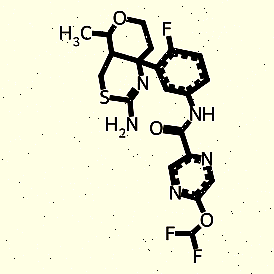 CC1OCCC2(c3cc(NC(=O)c4cnc(OC(F)F)cn4)ccc3F)N=C(N)SCC12